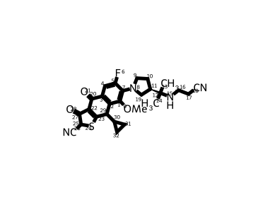 COc1c2c(cc(F)c1N1CC[C@@H](C(C)(C)NCCC#N)C1)C(=O)C1=C(SC(C#N)C1=O)C2C1CC1